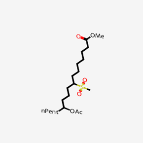 CCCCCC(CCCC(CCCCCCC(=O)OC)S(C)(=O)=O)OC(C)=O